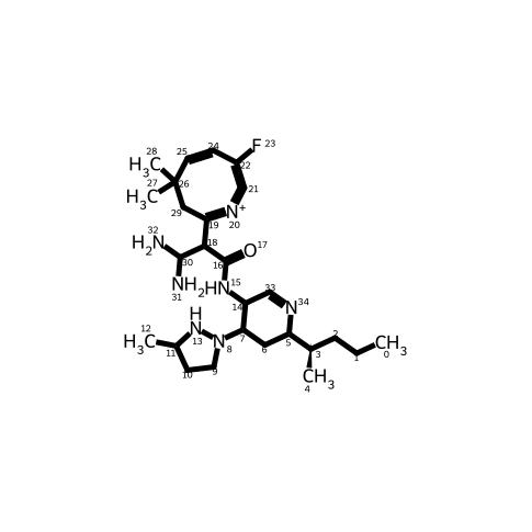 CCC[C@@H](C)C1CC(N2CCC(C)N2)C(NC(=O)C(C2=[N+]=C=C(F)/C=C\C(C)(C)C2)C(N)N)C=N1